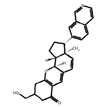 C[C@]12C=CC3=CC4=C(CC(CO)CC4=O)O[C@H]3[C@@H]1CC[C@@H]2c1ccc2ccncc2c1